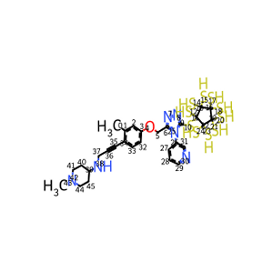 Cc1cc(OCc2nnc(SC3(S)C(S)(S)C(S)(S)C(S)(S)C3(S)S)n2-c2cccnc2)ccc1C#CCNC1CCN(C)CC1